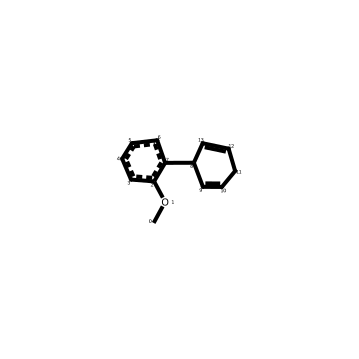 COc1ccccc1C1C=CCC=C1